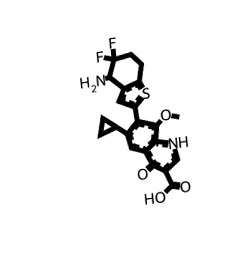 COc1c(-c2cc3c(s2)CCC(F)(F)C3N)c(C2CC2)cc2c(=O)c(C(=O)O)c[nH]c12